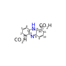 O=C(O)[C@@H]1CC=CC2=C1N=C1C=CC[C@@H](C(=O)O)C1N2